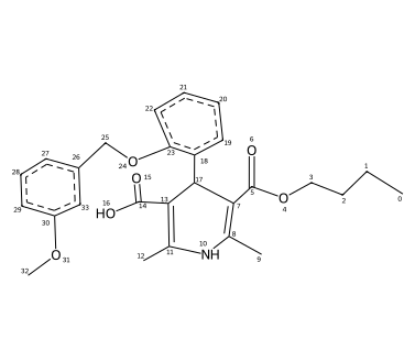 CCCCOC(=O)C1=C(C)NC(C)=C(C(=O)O)C1c1ccccc1OCc1cccc(OC)c1